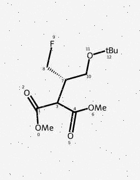 COC(=O)C(C(=O)OC)[C@H](CF)COC(C)(C)C